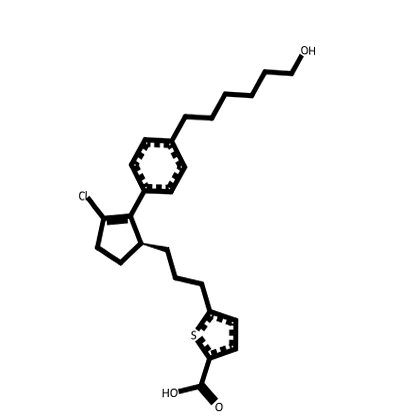 O=C(O)c1ccc(CCC[C@H]2CCC(Cl)=C2c2ccc(CCCCCCO)cc2)s1